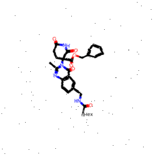 CCCCCCC(=O)NCc1ccc2nc(C)n(C3(C(=O)OCc4ccccc4)CCC(=O)NC3=O)c(=O)c2c1